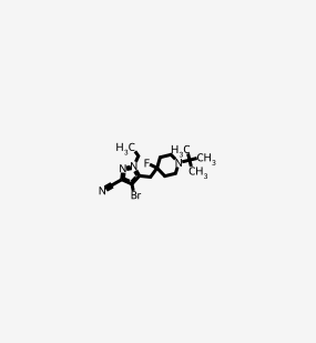 CCn1nc(C#N)c(Br)c1CC1(F)CCN(C(C)(C)C)CC1